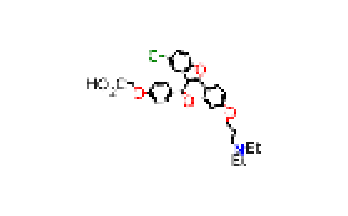 CCN(CC)CCCOc1ccc(-c2oc3ccc(Cl)cc3c2C(=O)c2ccc(OCC(=O)O)cc2)cc1